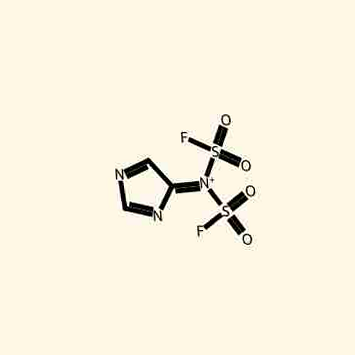 O=S(=O)(F)[N+](=C1C=NC=N1)S(=O)(=O)F